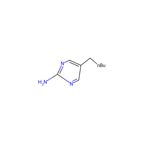 CCCCCc1cnc(N)nc1